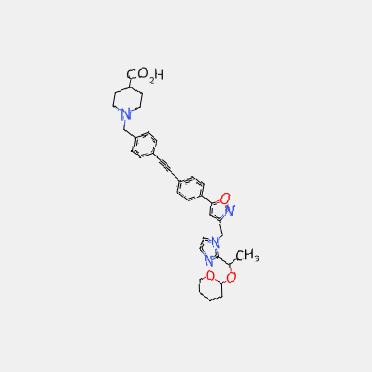 CC(OC1CCCCO1)c1nccn1Cc1cc(-c2ccc(C#Cc3ccc(CN4CCC(C(=O)O)CC4)cc3)cc2)on1